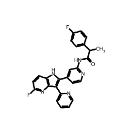 CC(C(=O)Nc1cc(-c2[nH]c3ccc(F)nc3c2-c2ccccn2)ccn1)c1ccc(F)cc1